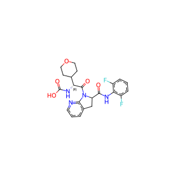 O=C(O)N[C@@H](C(=O)N1c2ncccc2CC1C(=O)Nc1c(F)cccc1F)C1CCOCC1